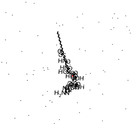 CCCCCCCCCCCC(=O)CC(=O)SCCNC(=O)CCNC(=O)[C@H](O)C(C)(C)COP(=O)(O)OP(=O)(O)OC[C@H]1O[C@@H](n2cnc3c(N)ncnc32)[C@H](O)[C@@H]1OP(=O)(O)O